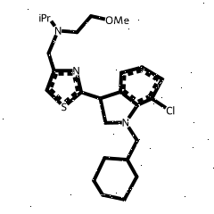 COCCN(Cc1csc(C2CN(CC3CCCCC3)c3c(Cl)cccc32)n1)C(C)C